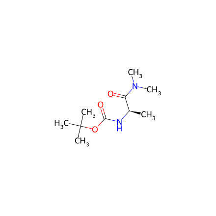 C[C@@H](NC(=O)OC(C)(C)C)C(=O)N(C)C